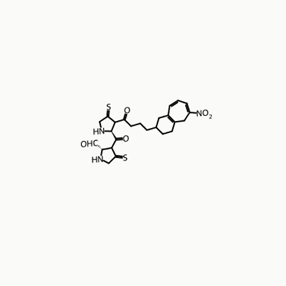 O=C[C@H]1NCC(=S)C1C(=O)[C@H]1NCC(=S)C1C(=O)CCCC1CCC2=C(C=CC=C([N+](=O)[O-])C2)C1